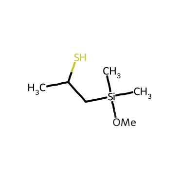 CO[Si](C)(C)CC(C)S